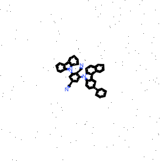 N#Cc1cc(-n2c3ccccc3c3ccccc32)c(C#N)c(-n2c3ccc(-c4ccccc4)cc3c3c4ccccc4ccc32)c1